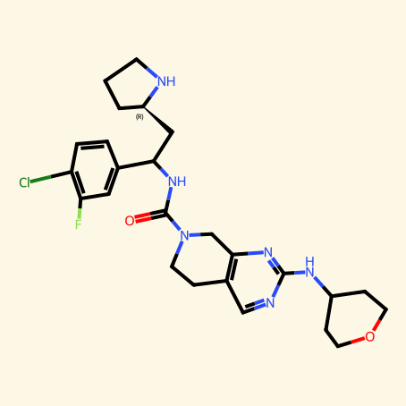 O=C(NC(C[C@H]1CCCN1)c1ccc(Cl)c(F)c1)N1CCc2cnc(NC3CCOCC3)nc2C1